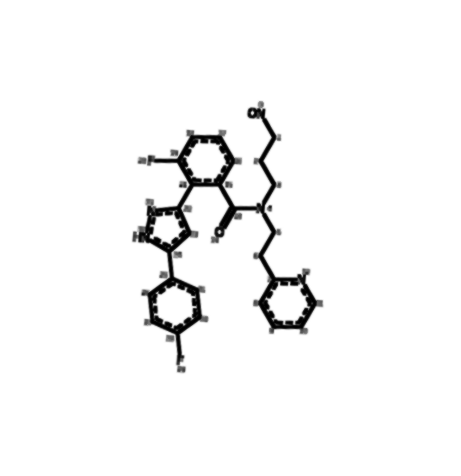 O=NCCCN(CCc1ccccn1)C(=O)c1cccc(F)c1-c1cc(-c2ccc(F)cc2)[nH]n1